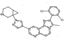 Cc1c(-c2c(Cl)cccc2Cl)nc2c3cc(-c4cnn(C56CNCCC5C6)c4)cnc3ccn12